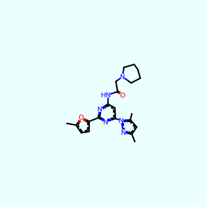 Cc1cc(C)n(-c2cc(NC(=O)CN3CCCCC3)nc(-c3ccc(C)o3)n2)n1